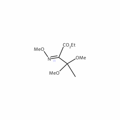 CCOC(=O)/C(=N\OC)C(C)(OC)OC